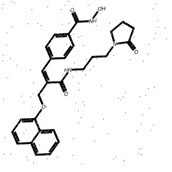 O=C(NCCCN1CCCC1=O)C(=Cc1ccc(C(=O)NO)cc1)COc1cccc2ccccc12